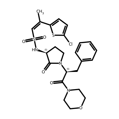 CC(=CS(=O)(=O)N[C@H]1CCN([C@@H](Cc2ccccc2)C(=O)N2CCOCC2)C1=O)c1ccc(Cl)s1